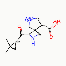 CC1(C)C[C@@H]1C(=O)C1NCC12CNCC2C(=O)O